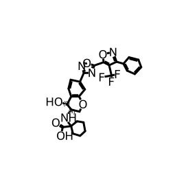 O=C(O)C1(N[C@@H]2COc3cc(-c4noc(-c5onc(-c6ccccc6)c5C(F)(F)F)n4)ccc3[C@@H]2O)CCCCC1